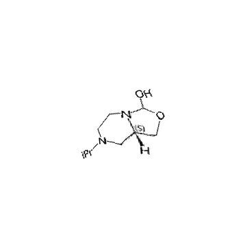 CC(C)N1CCN2C(O)OC[C@@H]2C1